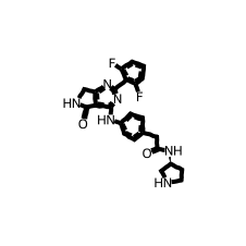 O=C(Cc1ccc(Nc2nc(-c3c(F)cccc3F)nc3c2C(=O)NC3)cc1)N[C@@H]1CCNC1